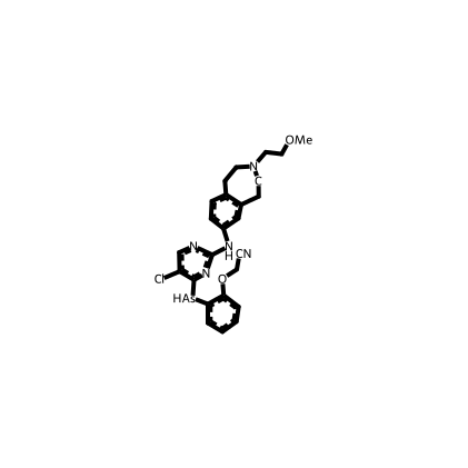 COCCN1CCc2ccc(Nc3ncc(Cl)c([AsH]c4ccccc4OCC#N)n3)cc2CC1